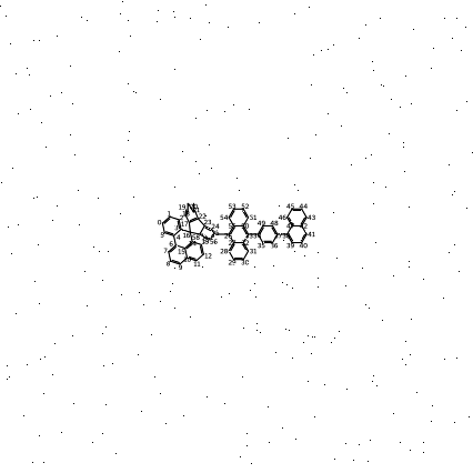 c1ccc2c(c1)-c1cccc3cccc(c13)C21c2ccncc2-c2cc(-c3c4ccccc4c(-c4ccc(-c5cccc6ccccc56)cc4)c4ccccc34)ccc21